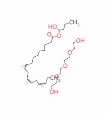 CC/C=C\C/C=C\C/C=C\CCCCCCCC(=O)OC(O)CCC.OCCOCCOCCOCCO